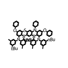 CCCCc1cc(C)cc(N2c3cc(Oc4ccccc4)cc4c3B(c3cc5c(cc3N4c3ccccc3)Sc3cc(Oc4ccccc4)cc4c3B5c3c(CCCC)cc(C)cc3N4c3cc(C)cc(C(C)(C)C)c3)c3c2cc(C)cc3C(C)(C)C)c1